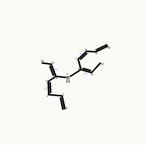 C=C/C=C\C(BC(/C=C\C=C)=C/C)=C/C